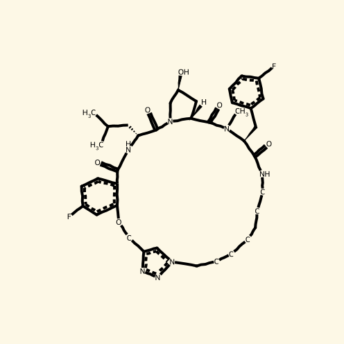 CC(C)C[C@H]1NC(=O)c2ccc(F)cc2OCc2cn(nn2)CCCCCCCNC(=O)[C@H](Cc2cccc(F)c2)N(C)C(=O)[C@H]2C[C@H](O)CN2C1=O